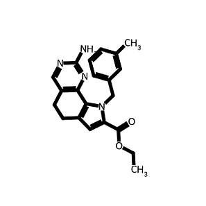 CCOC(=O)c1cc2c(n1Cc1cccc(C)c1)-c1nc(N)ncc1CC2